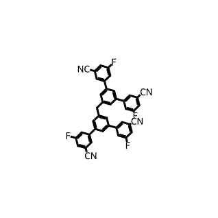 N#Cc1cc(F)cc(-c2cc(Cc3cc(-c4cc(F)cc(C#N)c4)cc(-c4cc(F)cc(C#N)c4)c3)cc(-c3cc(F)cc(C#N)c3)c2)c1